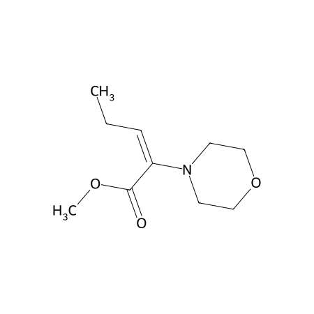 CCC=C(C(=O)OC)N1CCOCC1